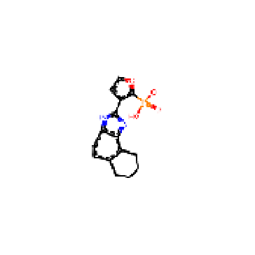 O=P(O)(O)c1occc1-c1nc2c3c(ccc2[nH]1)CCCC3